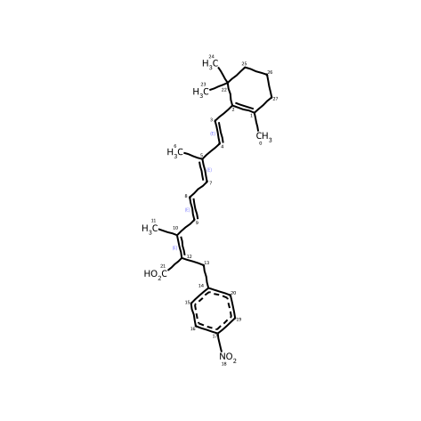 CC1=C(/C=C/C(C)=C/C=C/C(C)=C(\Cc2ccc([N+](=O)[O-])cc2)C(=O)O)C(C)(C)CCC1